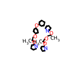 CC(COCC(C)Oc1ccccn1)Oc1ccccn1.CC(COc1ccc(Oc2ccccc2)cc1)Oc1ccccn1